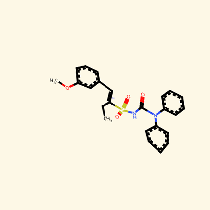 CC/C(=C\c1cccc(OC)c1)S(=O)(=O)NC(=O)N(c1ccccc1)c1ccccc1